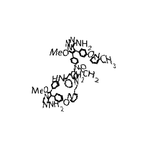 C=CC(=O)Nc1ccc(-c2c(-c3ccc(Oc4cccc(CCN5CC(CN(C(=O)C=C)c6ccc(-c7c(-c8ccc(Oc9cccc(C)n9)cc8)c8c(N)ncnn8c7OC)cc6)C5)n4)cc3)c3c(N)nccn3c2OC)cc1